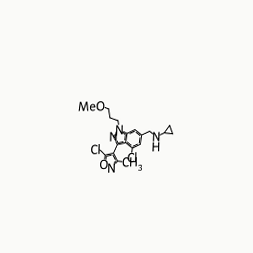 COCCCn1nc(-c2c(C)noc2Cl)c2c(Cl)cc(CNC3CC3)cc21